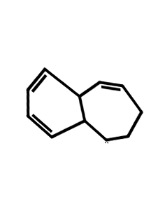 [C]1CCC=CC2C=CC=CC12